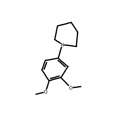 COc1ccc(N2CCCCC2)cc1OC